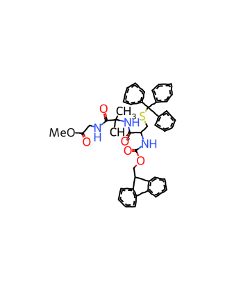 COC(=O)CNC(=O)C(C)(C)NC(=O)C(CSC(c1ccccc1)(c1ccccc1)c1ccccc1)NC(=O)OCC1c2ccccc2-c2ccccc21